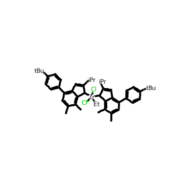 C[CH2][Zr]([Cl])([Cl])([CH]1C(C(C)C)=Cc2c(-c3ccc(C(C)(C)C)cc3)cc(C)c(C)c21)[CH]1C(C(C)C)=Cc2c(-c3ccc(C(C)(C)C)cc3)cc(C)c(C)c21